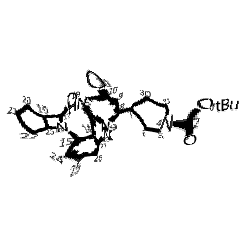 CC(C)(C)OC(=O)N1CCC(c2cc(=O)[nH]c3c4c(N5C(=O)C6CCCC65)cccc4nn23)CC1